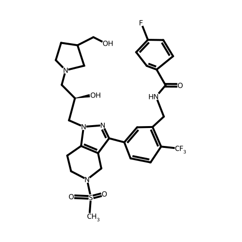 CS(=O)(=O)N1CCc2c(c(-c3ccc(C(F)(F)F)c(CNC(=O)c4ccc(F)cc4)c3)nn2C[C@H](O)CN2CCC(CO)C2)C1